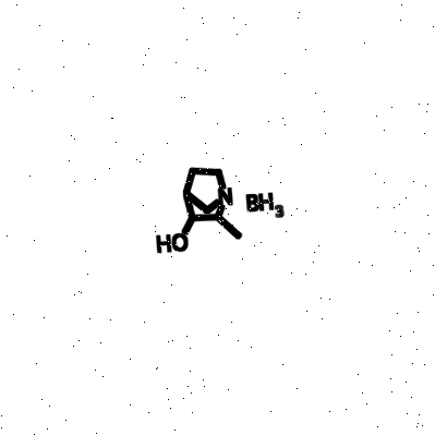 B.CC1C(O)C2CCN1C2